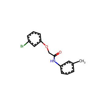 Cc1cccc(NC(=O)COc2cccc(Br)c2)c1